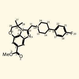 COC(=O)c1cc2c3c(c1)nc(CN1CCC(c4ccc(F)cc4)CC1)n3C(C)(C)CO2